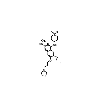 CNc1nc(NC2CCS(=O)(=O)CC2)c2cc(OC)c(OCCCN3CCCC3)cc2n1